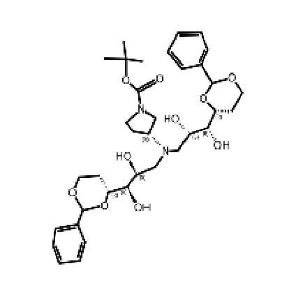 CC(C)(C)OC(=O)N1CC[C@@H](N(C[C@H](O)[C@@H](O)[C@H]2CCOC(c3ccccc3)O2)C[C@H](O)[C@@H](O)[C@H]2CCOC(c3ccccc3)O2)C1